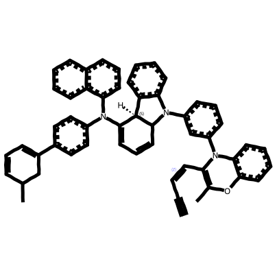 C#C/C=C\C1=C(C)Oc2ccccc2N1c1cccc(N2c3ccccc3[C@@H]3C(N(c4ccc(C5=CC=CC(C)C5)cc4)c4cccc5ccccc45)=CC=CC32)c1